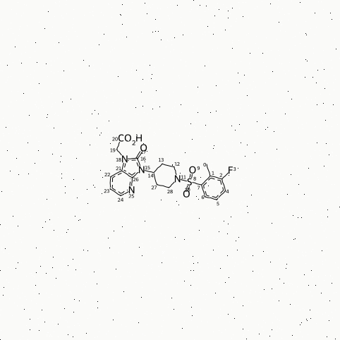 Cc1c(F)cccc1S(=O)(=O)N1CCC(n2c(=O)n(CC(=O)O)c3cccnc32)CC1